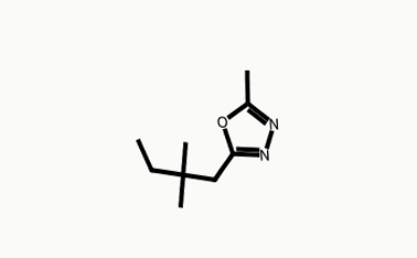 CCC(C)(C)Cc1nnc(C)o1